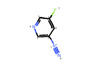 N#[N+]c1cncc(F)c1